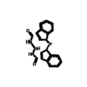 C1=C[CH]([Zr][CH]2C=Cc3ccccc32)c2ccccc21.O=C[NH][InH][NH]C=O